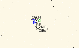 CC(C)COc1ccc(-c2nn(C)c(C(=O)O)c2Cl)cc1[N+](=O)[O-]